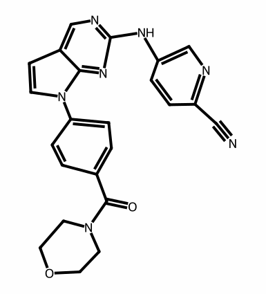 N#Cc1ccc(Nc2ncc3ccn(-c4ccc(C(=O)N5CCOCC5)cc4)c3n2)cn1